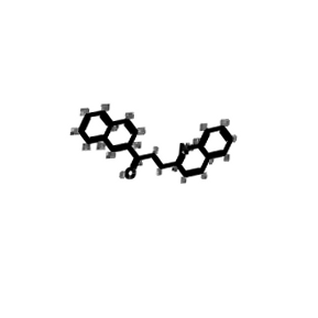 O=C(CCc1ccc2ccccc2n1)c1ccc2ccccc2c1